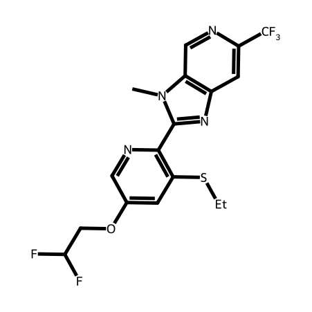 CCSc1cc(OCC(F)F)cnc1-c1nc2cc(C(F)(F)F)ncc2n1C